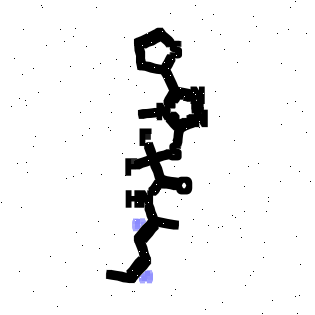 C/C=C\C=C(/C)NC(=O)C(F)(F)Sc1nnc(C2CC=CS2)n1C